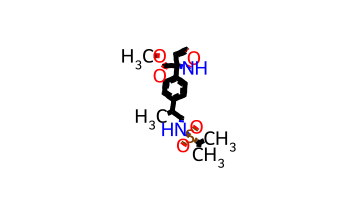 COC(=O)C1(c2ccc(C(C)CNS(=O)(=O)C(C)C)cc2)C=CON1